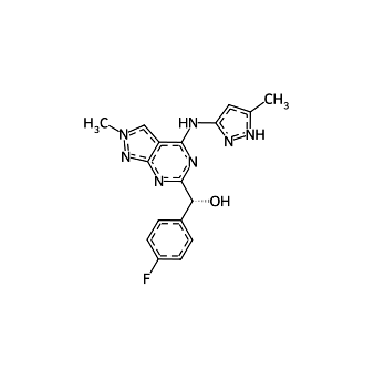 Cc1cc(Nc2nc([C@H](O)c3ccc(F)cc3)nc3nn(C)cc23)n[nH]1